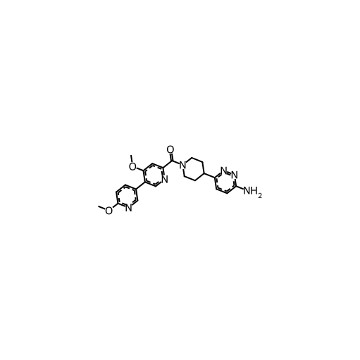 COc1ccc(-c2cnc(C(=O)N3CCC(c4ccc(N)nn4)CC3)cc2OC)cn1